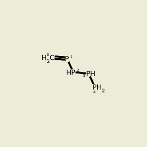 C=PPPP